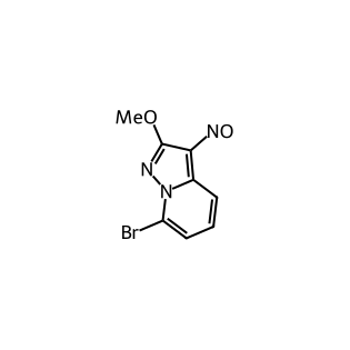 COc1nn2c(Br)cccc2c1N=O